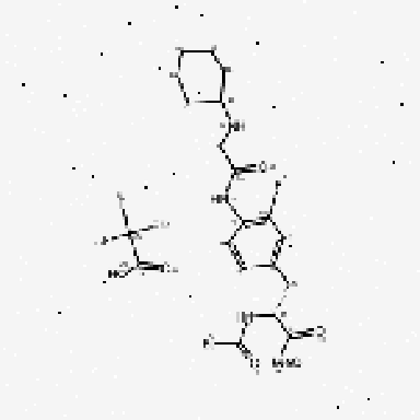 CCC(=O)N[C@H](Cc1ccc(NC(=O)CNC2CCCCC2)c(F)c1)C(=O)OC.O=C(O)C(F)(F)F